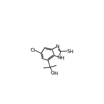 CC(C)(O)c1cc(Cl)cc2nc(S)[nH]c12